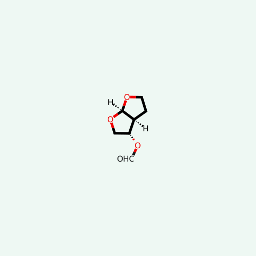 O=CO[C@@H]1CO[C@H]2OCC[C@H]21